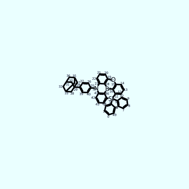 c1ccc([Si]2(c3ccccc3)c3cccc4c3B3c5c(cccc5N(c5ccc(C67CC8CC(CC(C8)C6)C7)cc5)c5cccc2c53)O4)cc1